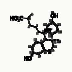 CCCC(CCCC(C)C(=O)O)C1c2ccc(O)cc2SCC1(C)c1ccc(O)cc1